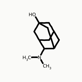 CN(C)C1C2CC3CC1CC(O)(C3)C2